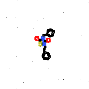 O=c1sn(CCc2ccccc2)c(=O)n1Cc1ccccc1